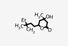 CCC(C)(C)CCC1CC(C)(O)CC(=O)O1